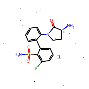 Cl.N[C@H]1CCN(c2ccccc2-c2cccc(F)c2S(N)(=O)=O)C1=O